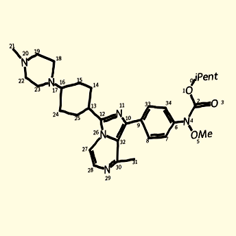 CCCC(C)OC(=O)N(OC)c1ccc(-c2nc(C3CCC(N4CCN(C)CC4)CC3)n3ccnc(C)c23)cc1